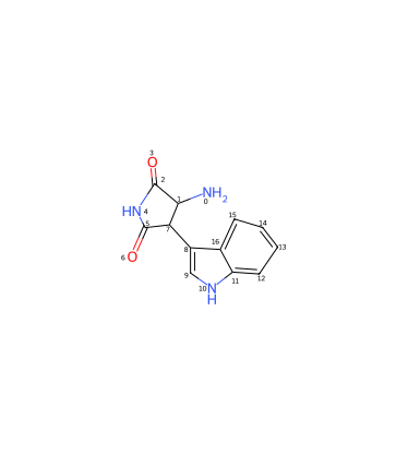 NC1C(=O)NC(=O)C1c1c[nH]c2ccccc12